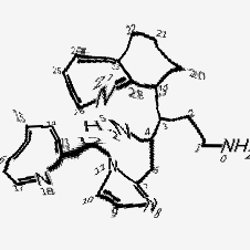 NCCC(C(N)Cc1nccn1Cc1ccccn1)C1CCCc2cccnc21